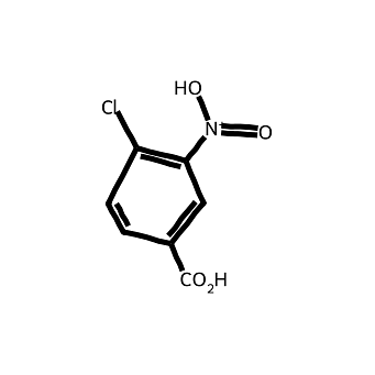 O=C(O)c1ccc(Cl)c([N+](=O)O)c1